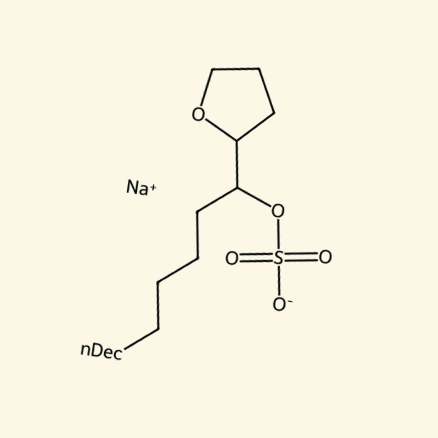 CCCCCCCCCCCCCCC(OS(=O)(=O)[O-])C1CCCO1.[Na+]